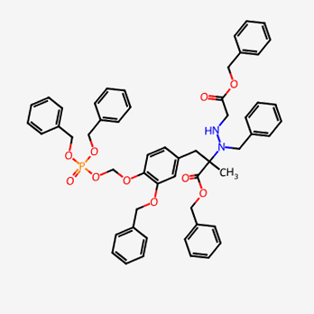 CC(Cc1ccc(OCOP(=O)(OCc2ccccc2)OCc2ccccc2)c(OCc2ccccc2)c1)(C(=O)OCc1ccccc1)N(Cc1ccccc1)NCC(=O)OCc1ccccc1